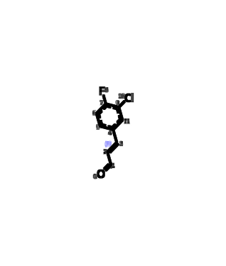 O=[C]/C=C/c1ccc(F)c(Cl)c1